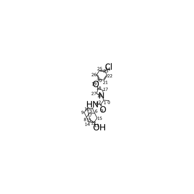 CC(C(=O)NC1C2CC3CC1CC(O)(C3)C2)N1CC(Oc2ccc(Cl)cc2)C1